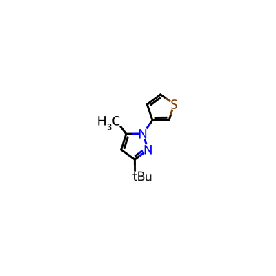 Cc1cc(C(C)(C)C)nn1-c1ccsc1